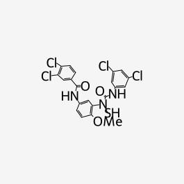 COc1ccc(NC(=O)c2ccc(Cl)c(Cl)c2)cc1N(S)C(=O)Nc1cc(Cl)cc(Cl)c1